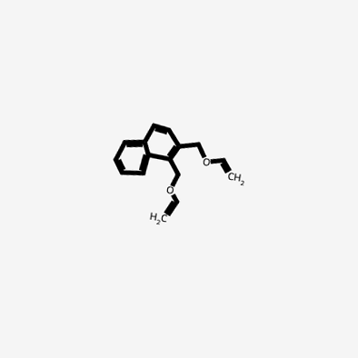 C=COCc1ccc2ccccc2c1COC=C